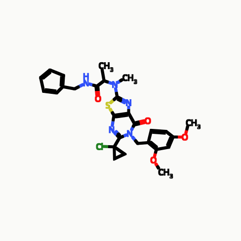 COc1ccc(Cn2c(C3(Cl)CC3)nc3sc(N(C)C(C)C(=O)NCc4ccccc4)nc3c2=O)c(OC)c1